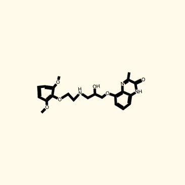 COc1cccc(OC)c1OCCNCC(O)COc1cccc2[nH]c(=O)c(C)nc12